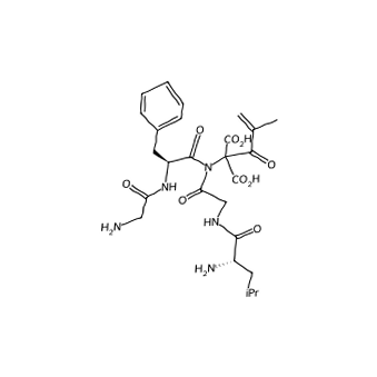 C=C(C)C(=O)C(C(=O)O)(C(=O)O)N(C(=O)CNC(=O)[C@@H](N)CC(C)C)C(=O)[C@H](Cc1ccccc1)NC(=O)CN